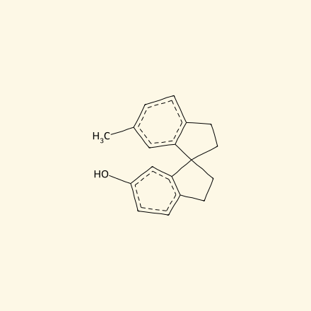 Cc1ccc2c(c1)C1(CC2)CCc2ccc(O)cc21